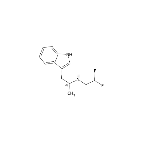 C[C@H](Cc1c[nH]c2ccccc12)NCC(F)F